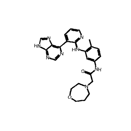 Cc1ccc(NC(=O)CN2CCCOCC2)cc1Nc1ncccc1-c1ncnc2[nH]cnc12